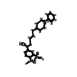 C[S+]([O-])c1ccc(C(O)CCCCN2CCN(c3ccccc3)CC2)cc1S(N)(=O)=O